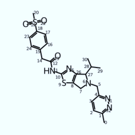 Cc1ccc(CN2Cc3sc(NC(=O)Cc4ccc(S(C)(=O)=O)cc4)nc3C2C(C)C)nn1